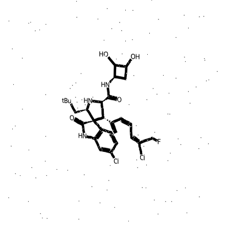 C=C(/C=C\C=C(\Cl)CF)[C@H]1[C@H](C(=O)N[C@@H]2CC(O)C2O)N[C@H](CC(C)(C)C)[C@]12C(=O)Nc1cc(Cl)ccc12